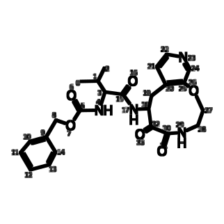 CC(C)C(NC(=O)OCc1ccccc1)C(=O)NC1Cc2ccncc2OCCNC(=O)C1=O